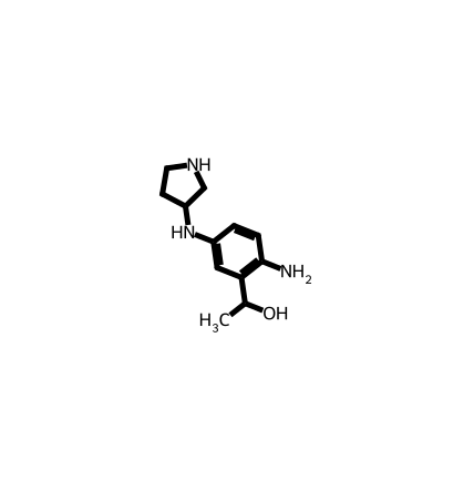 CC(O)c1cc(NC2CCNC2)ccc1N